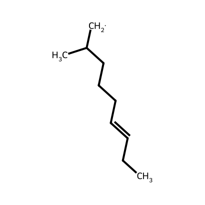 [CH2]C(C)CCCC=CCC